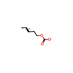 C/C=C/CCOC([O])=O